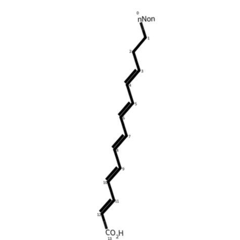 CCCCCCCCCCCC=CC=CC=CC=CC=CC(=O)O